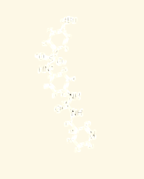 CC(C)(C)c1ccc(S(=O)(=O)Nc2ccc(NC(=O)NCc3cccnc3)cc2)cc1